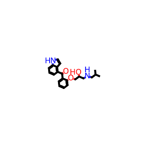 CC(C)CNCC(O)COc1ccccc1C(=O)c1cccc2[nH]ccc12